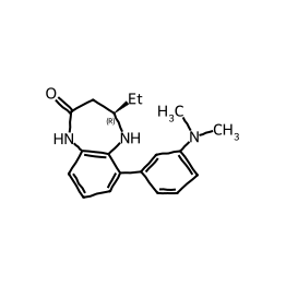 CC[C@@H]1CC(=O)Nc2cccc(-c3cccc(N(C)C)c3)c2N1